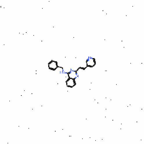 C(=Cc1nc(NCc2ccccc2)c2ccccc2n1)c1cccnc1